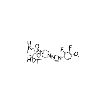 COc1ccc(N2C=CN(N3CCN(C(=O)[C@]45CNCC[C@H]4OC(C)(C)O5)CC3)C2)c(F)c1F